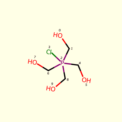 OCP(Cl)(CO)(CO)CO